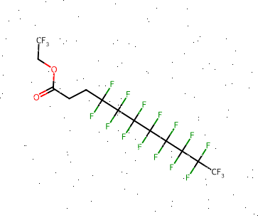 O=C(CCC(F)(F)C(F)(F)C(F)(F)C(F)(F)C(F)(F)C(F)(F)C(F)(F)C(F)(F)F)OCC(F)(F)F